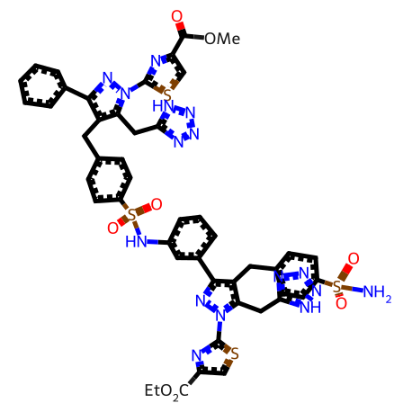 CCOC(=O)c1csc(-n2nc(-c3cccc(NS(=O)(=O)c4ccc(Cc5c(-c6ccccc6)nn(-c6nc(C(=O)OC)cs6)c5Cc5nnn[nH]5)cc4)c3)c(Cc3ccc(S(N)(=O)=O)cc3)c2Cc2nnn[nH]2)n1